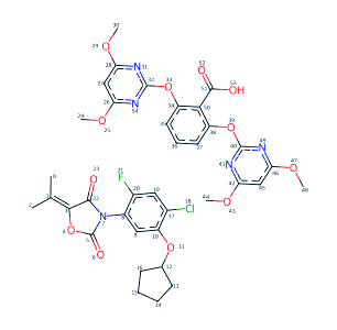 CC(C)=C1OC(=O)N(c2cc(OC3CCCC3)c(Cl)cc2F)C1=O.COc1cc(OC)nc(Oc2cccc(Oc3nc(OC)cc(OC)n3)c2C(=O)O)n1